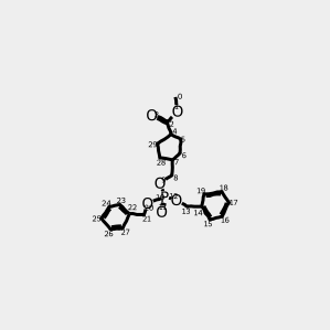 COC(=O)C1CCC(COP(=O)(OCc2ccccc2)OCc2ccccc2)CC1